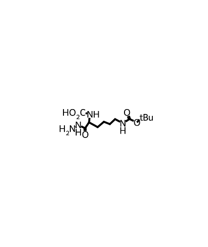 CC(C)(C)OC(=O)NCCCCC(NC(=O)O)C(=O)NN